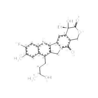 CC[C@@]1(O)C(=O)OCc2c1cc1n(c2=O)Cc2c-1nc1cc(F)c(C)cc1c2CC[C@@H](C)O